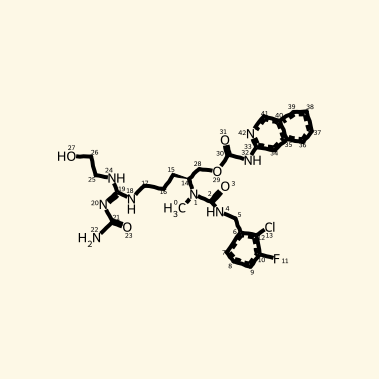 CN(C(=O)NCc1cccc(F)c1Cl)[C@@H](CCCN/C(=N\C(N)=O)NCCO)COC(=O)Nc1cc2ccccc2cn1